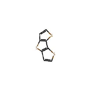 c1cc2sc3ccsc3c2s1